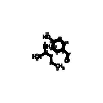 CCCC(N)N.O=Cc1ccc(O)cc1